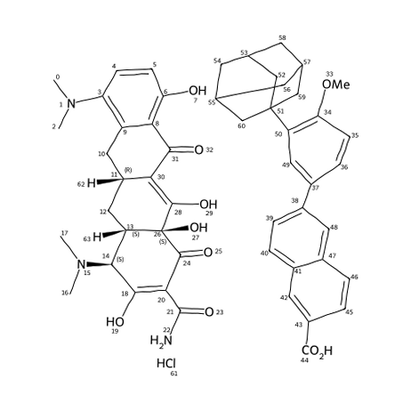 CN(C)c1ccc(O)c2c1C[C@H]1C[C@H]3[C@H](N(C)C)C(O)=C(C(N)=O)C(=O)[C@@]3(O)C(O)=C1C2=O.COc1ccc(-c2ccc3cc(C(=O)O)ccc3c2)cc1C12CC3CC(CC(C3)C1)C2.Cl